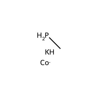 CP.[Co].[KH]